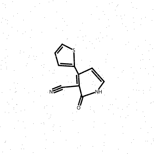 N#Cc1c(-c2cccs2)cc[nH]c1=O